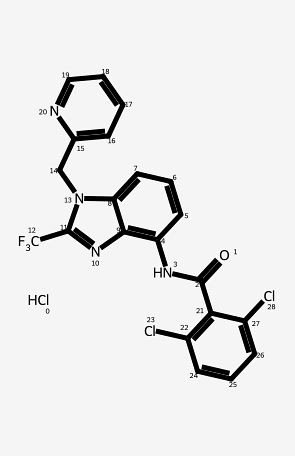 Cl.O=C(Nc1cccc2c1nc(C(F)(F)F)n2Cc1ccccn1)c1c(Cl)cccc1Cl